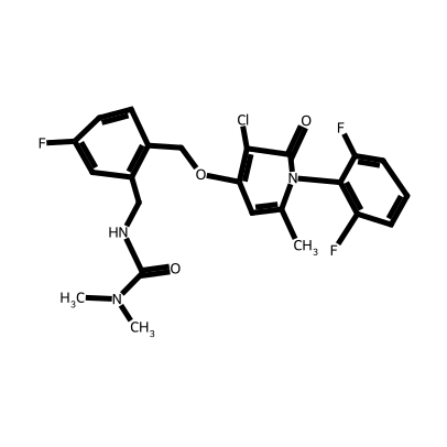 Cc1cc(OCc2ccc(F)cc2CNC(=O)N(C)C)c(Cl)c(=O)n1-c1c(F)cccc1F